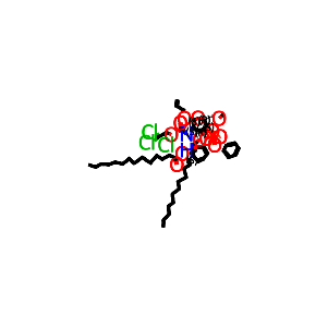 C=CCO[C@H]1O[C@H](COC)[C@@H](OP(=O)(Oc2ccccc2)Oc2ccccc2)[C@H](OCC[C@H](CCCCCCCCCCC)OC(=O)CCCCCCCCCCCCC)[C@@H]1NC(=O)OCC(Cl)(Cl)Cl